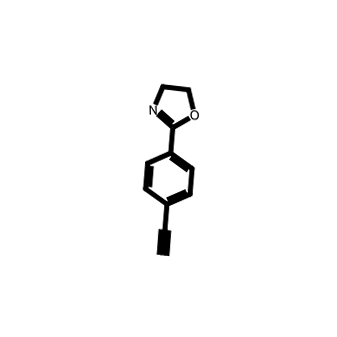 C#Cc1ccc(C2=NCCO2)cc1